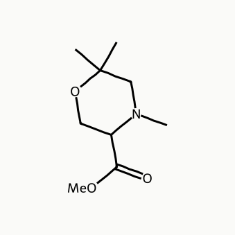 COC(=O)C1COC(C)(C)CN1C